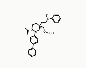 C=C(C)[C@@H]1CC[C@](CC[S+]([O-])c2ccccc2)(COC=O)C[C@H]1c1ccc(-c2ccccc2)cc1